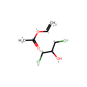 C=COC(C)=O.OC(CCl)CCl